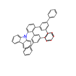 c1ccc(-c2cc(-c3ccccc3)cc(-c3cccc(-n4c5ccccc5c5ccccc54)c3-c3cc(-c4ccccc4)cc(-c4ccccc4)c3)c2)cc1